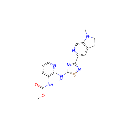 COC(=O)Nc1cccnc1Nc1nc(-c2cc3c(cn2)N(C)CC3)ns1